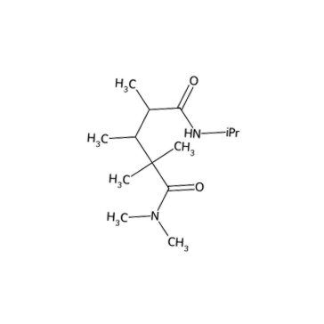 CC(C)NC(=O)C(C)C(C)C(C)(C)C(=O)N(C)C